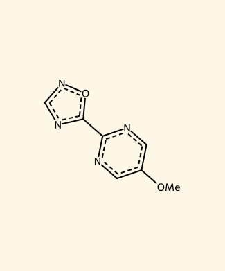 COc1cnc(-c2ncno2)nc1